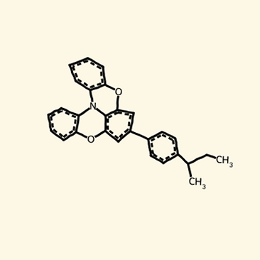 CCC(C)c1ccc(-c2cc3c4c(c2)Oc2ccccc2N4c2ccccc2O3)cc1